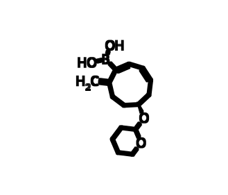 C=C1CC[C@H](OC2CCCCO2)C/C=C\C=C/1B(O)O